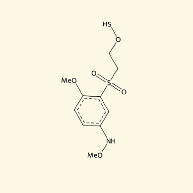 CONc1ccc(OC)c(S(=O)(=O)CCOS)c1